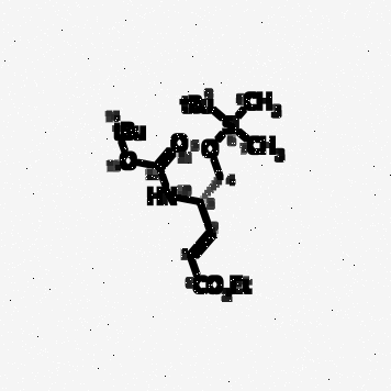 CCOC(=O)/C=C/[C@@H](CO[Si](C)(C)C(C)(C)C)NC(=O)OC(C)(C)C